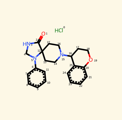 Cl.O=C1NCN(c2ccccc2)C12CCN(C1CCOc3ccccc31)CC2